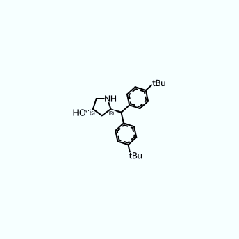 CC(C)(C)c1ccc(C(c2ccc(C(C)(C)C)cc2)[C@H]2C[C@H](O)CN2)cc1